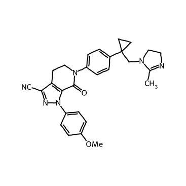 COc1ccc(-n2nc(C#N)c3c2C(=O)N(c2ccc(C4(CN5CCN=C5C)CC4)cc2)CC3)cc1